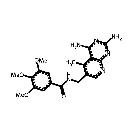 COc1cc(C(=O)NCc2cnc3nc(N)nc(N)c3c2C)cc(OC)c1OC